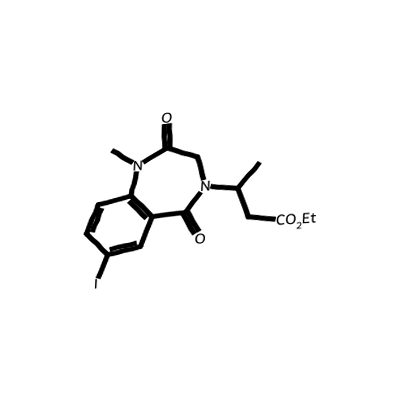 CCOC(=O)CC(C)N1CC(=O)N(C)c2ccc(I)cc2C1=O